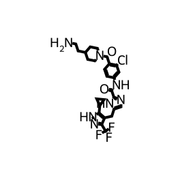 NCCC1CCN(C(=O)c2ccc(NC(=O)c3ncc(Cc4c(C(F)(F)F)n[nH]c4C4CC4)[nH]3)cc2Cl)CC1